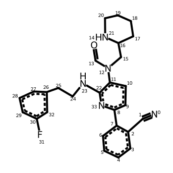 N#Cc1ccccc1-c1ccc(N(C=O)CC2CCCCN2)c(NCCc2cccc(F)c2)n1